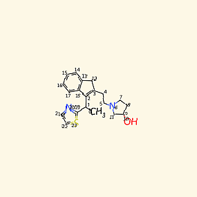 CC(C1=C(CCN2CCC(O)C2)Cc2ccccc21)c1nccs1